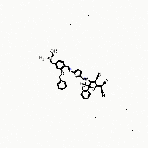 CN(CO)Cc1ccc(/C=C/c2ccc(/C=C/C3=C(C#N)C(=C(C#N)C#N)OC3(c3ccccc3)C(F)(F)F)s2)c(OCc2ccccc2)c1